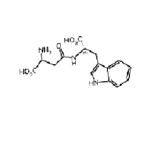 NC(CC(=O)N[C@@H](Cc1c[nH]c2ccccc12)C(=O)O)C(=O)O